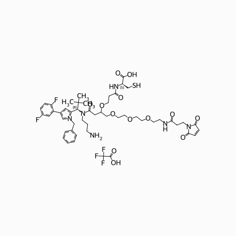 CC(C)(C)[C@H](c1cc(-c2cc(F)ccc2F)cn1Cc1ccccc1)N(CCCN)C(=O)CC(COCCOCCOCCNC(=O)CCN1C(=O)C=CC1=O)OCCC(=O)N[C@H](CS)C(=O)O.O=C(O)C(F)(F)F